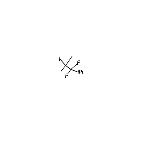 CC(C)C(F)(F)C(C)(C)I